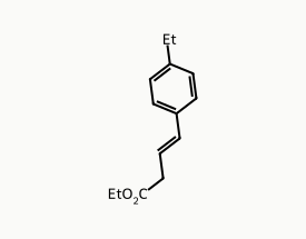 [CH2]Cc1ccc(C=CCC(=O)OCC)cc1